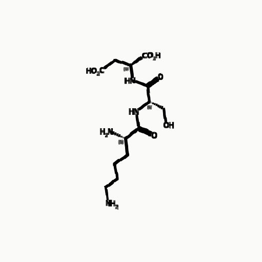 NCCCC[C@H](N)C(=O)N[C@@H](CO)C(=O)N[C@@H](CC(=O)O)C(=O)O